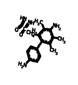 C.Cc1c(C)c(-c2ccc(N)cc2)c(C)c(C)c1N.N=C=O.N=C=O